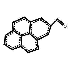 O=Cc1cc2ccc3c[c]cc4ccc(c1)c2c34